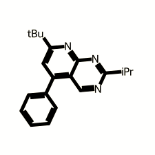 CC(C)c1ncc2c(-c3ccccc3)cc(C(C)(C)C)nc2n1